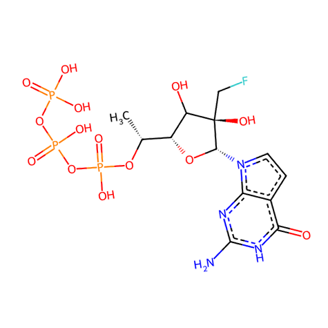 C[C@@H](OP(=O)(O)OP(=O)(O)OP(=O)(O)O)[C@H]1O[C@@H](n2ccc3c(=O)[nH]c(N)nc32)[C@@](O)(CF)C1O